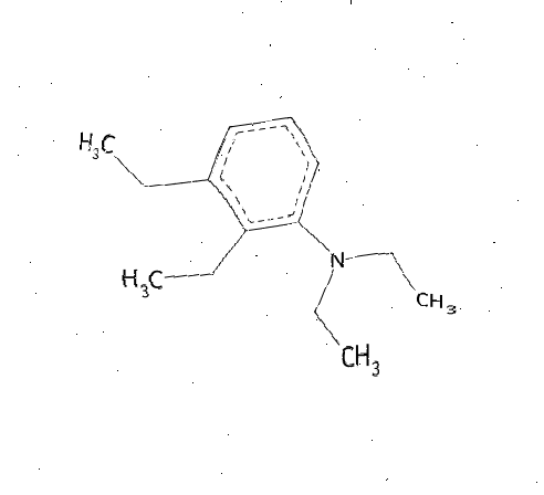 CCc1cccc(N(CC)CC)c1CC